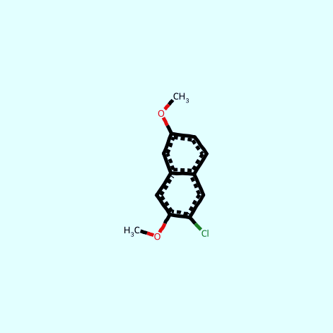 COc1ccc2cc(Cl)c(OC)cc2c1